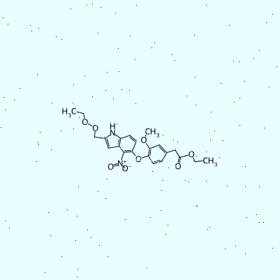 CCOOCc1cc2c([N+](=O)[O-])c(Oc3ccc(CC(=O)OCC)cc3OC)ccc2[nH]1